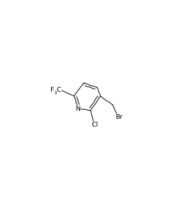 FC(F)(F)c1ccc(CBr)c(Cl)n1